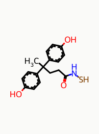 CC(CCC(=O)NS)(c1ccc(O)cc1)c1ccc(O)cc1